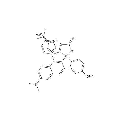 C=CC(=C(c1ccc(OC)cc1)c1ccc(N(C)C)cc1)C1(c2ccc(OC)cc2)OC(=O)c2cc(N(C)C)ccc21